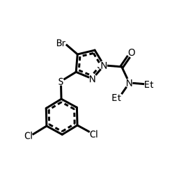 CCN(CC)C(=O)n1cc(Br)c(Sc2cc(Cl)cc(Cl)c2)n1